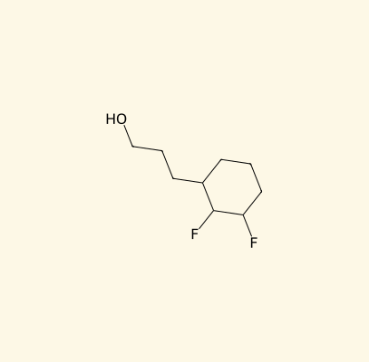 OCCCC1CCCC(F)C1F